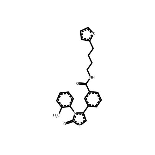 Cc1ccccc1-n1c(-c2cccc(C(=O)NCCCCc3cccs3)c2)csc1=O